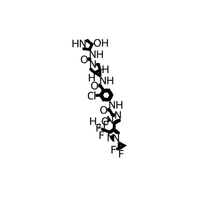 Cn1c(-c2cn(C3CC3(F)F)nc2C(F)(F)F)cnc1C(=O)Nc1ccc(C(=O)NC2[C@H]3CN(C(=O)N[C@H]4CNC[C@@H]4O)C[C@@H]23)c(Cl)c1